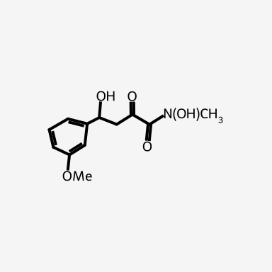 COc1cccc(C(O)CC(=O)C(=O)N(C)O)c1